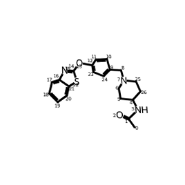 CC(=O)NC1CCN(Cc2ccc(Oc3nc4ccccc4s3)cc2)CC1